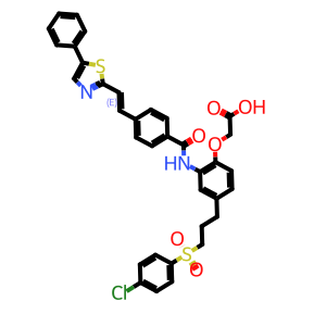 O=C(O)COc1ccc(CCCS(=O)(=O)c2ccc(Cl)cc2)cc1NC(=O)c1ccc(/C=C/c2ncc(-c3ccccc3)s2)cc1